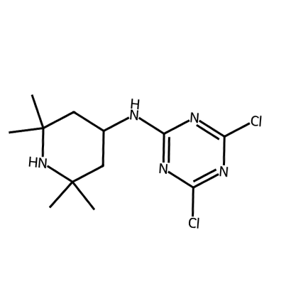 CC1(C)CC(Nc2nc(Cl)nc(Cl)n2)CC(C)(C)N1